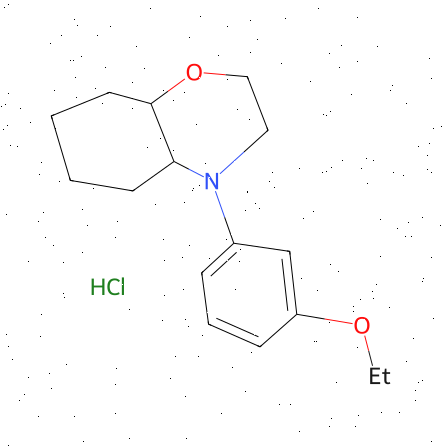 CCOc1cccc(N2CCOC3CCCCC32)c1.Cl